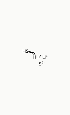 SS.[Li+].[Li+].[S-2]